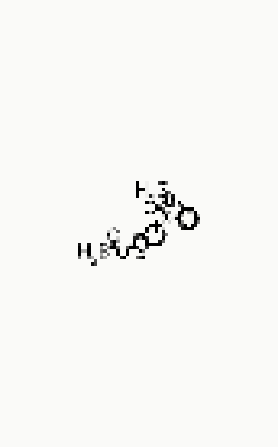 BC(=O)Oc1cc2c(s1)CCN([C@H](C(=O)OC)c1ccccc1Cl)C2